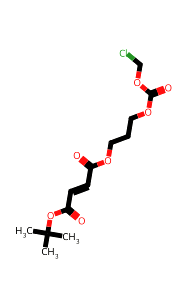 CC(C)(C)OC(=O)/C=C/C(=O)OCCCOC(=O)OCCl